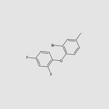 [CH2]c1ccc(Oc2ccc(F)cc2F)c(Br)c1